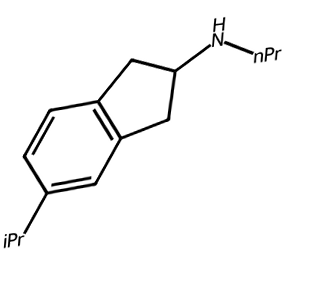 CCCNC1Cc2ccc(C(C)C)cc2C1